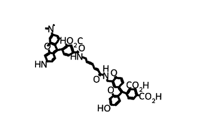 CN(C)c1ccc2c(-c3ccc(C(=O)NC/C=C/C=C/C(=O)NCc4c5oc6cc(O)ccc6c(-c6ccc(C(=O)O)cc6C(=O)O)c-5ccc4=O)cc3C(=O)O)c3ccc(=N)cc-3oc2c1